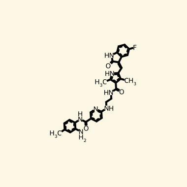 Cc1ccc(NC(=O)c2ccc(NCCNC(=O)c3c(C)[nH]c(C=C4C(=O)Nc5ccc(F)cc54)c3C)nc2)c(N)c1